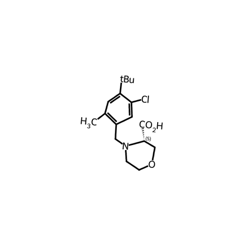 Cc1cc(C(C)(C)C)c(Cl)cc1CN1CCOC[C@H]1C(=O)O